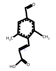 Cc1cc(C=O)cc(C)c1/C=C/C(=O)O